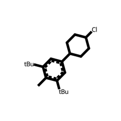 Cc1c(C(C)(C)C)cc(C2CCC(Cl)CC2)cc1C(C)(C)C